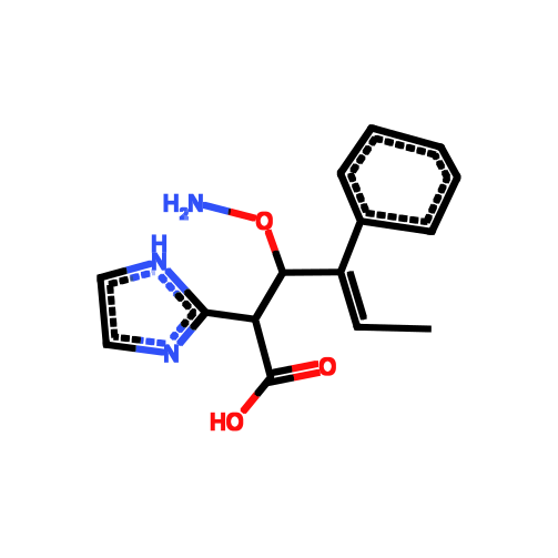 C/C=C(\c1ccccc1)C(ON)C(C(=O)O)c1ncc[nH]1